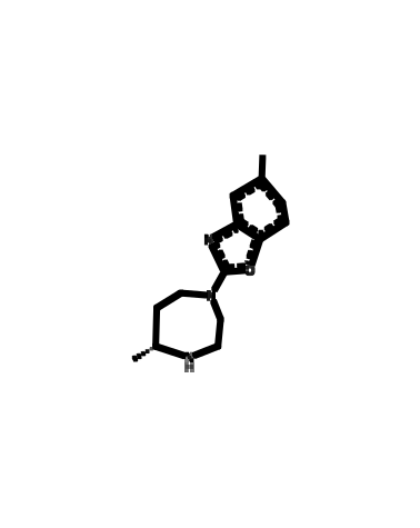 Cc1ccc2oc(N3CCN[C@H](C)CC3)nc2c1